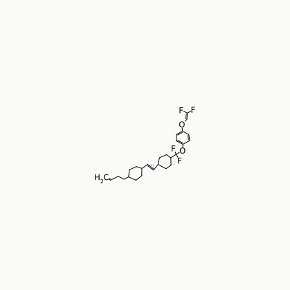 C=CCCC1CCC(/C=C/C2CCC(C(F)(F)Oc3ccc(OC=C(F)F)cc3)CC2)CC1